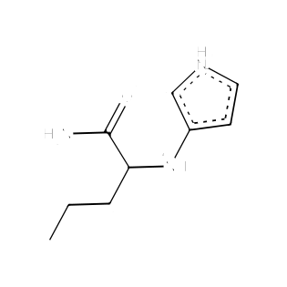 CCCC(Nc1cc[nH]c1)C(N)=O